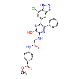 COC(=O)c1ccc(NC(=O)CNc2nc(-c3ccccc3)c(-c3cc(Cl)c4[nH]ncc4c3)nc2O)cc1